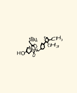 Cc1csc(-c2ccc(CNC(=O)[C@@H]3C[C@@H](O)CN3C(=O)CC(C)(C)C)cc2)c1C